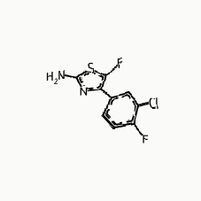 Nc1nc(-c2ccc(F)c(Cl)c2)c(F)s1